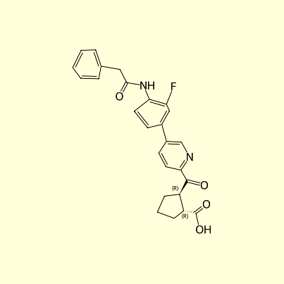 O=C(Cc1ccccc1)Nc1ccc(-c2ccc(C(=O)[C@@H]3CCC[C@H]3C(=O)O)nc2)cc1F